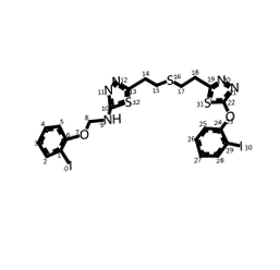 Ic1ccccc1OCNc1nnc(CCSCCc2nnc(Oc3ccccc3I)s2)s1